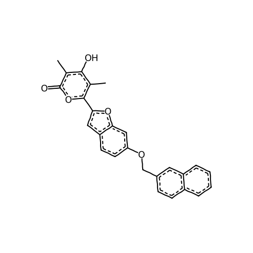 Cc1c(-c2cc3ccc(OCc4ccc5ccccc5c4)cc3o2)oc(=O)c(C)c1O